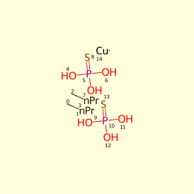 CCCC.CCCC.OP(O)(O)=S.OP(O)(O)=S.[Cu]